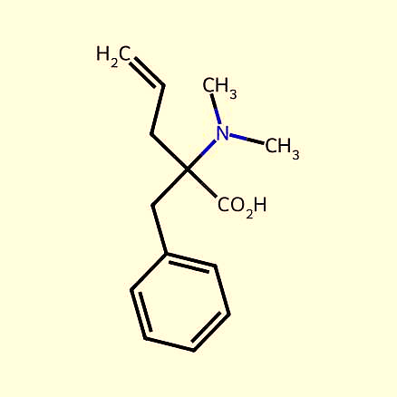 C=CCC(Cc1ccccc1)(C(=O)O)N(C)C